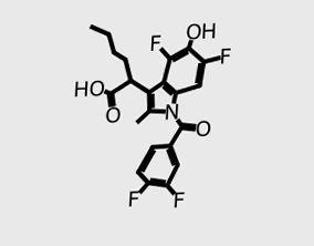 CCCCC(C(=O)O)c1c(C)n(C(=O)c2ccc(F)c(F)c2)c2cc(F)c(O)c(F)c12